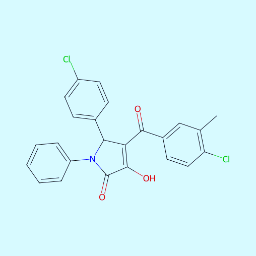 Cc1cc(C(=O)C2=C(O)C(=O)N(c3ccccc3)C2c2ccc(Cl)cc2)ccc1Cl